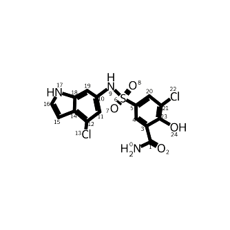 NC(=O)c1cc(S(=O)(=O)Nc2cc(Cl)c3cc[nH]c3c2)cc(Cl)c1O